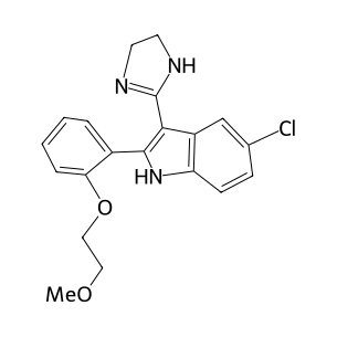 COCCOc1ccccc1-c1[nH]c2ccc(Cl)cc2c1C1=NCCN1